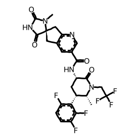 C[C@@H]1[C@H](c2c(F)ccc(F)c2F)C[C@H](NC(=O)c2cnc3c(c2)C[C@@]2(C3)C(=O)NC(=O)N2C)C(=O)N1CC(F)(F)F